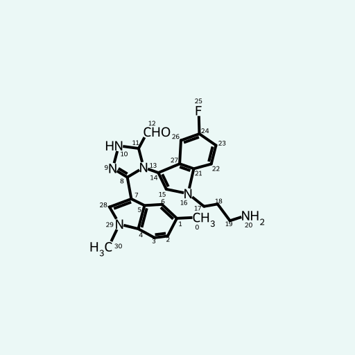 Cc1ccc2c(c1)c(C1=NNC(C=O)N1c1cn(CCCN)c3ccc(F)cc13)cn2C